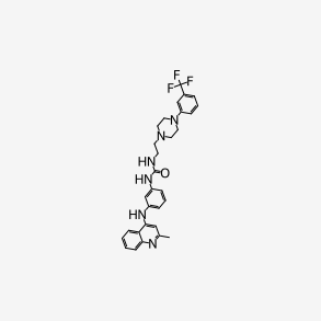 Cc1cc(Nc2cccc(NC(=O)NCCN3CCN(c4cccc(C(F)(F)F)c4)CC3)c2)c2ccccc2n1